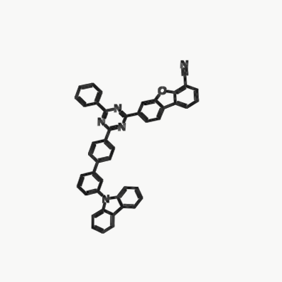 N#Cc1cccc2c1oc1cc(-c3nc(-c4ccccc4)nc(-c4ccc(-c5cccc(-n6c7ccccc7c7ccccc76)c5)cc4)n3)ccc12